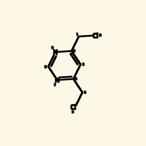 ClCc1cc(CCl)ncn1